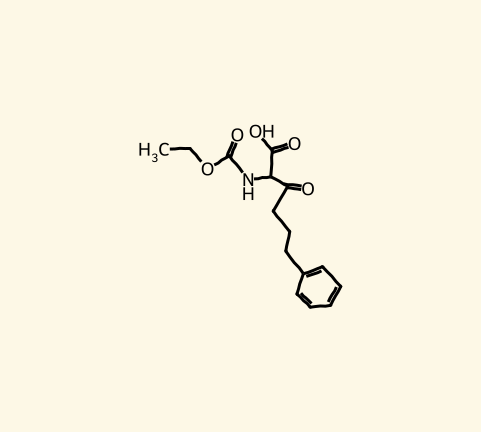 CCOC(=O)NC(C(=O)O)C(=O)CCCc1ccccc1